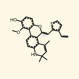 C=Cc1ccsc1/C=C1\Oc2ccc(O)c(OC)c2-c2ccc3c(c21)C(C)=CC(C)(C)N3